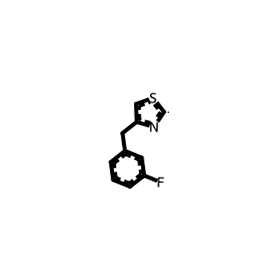 Fc1cccc(Cc2cs[c]n2)c1